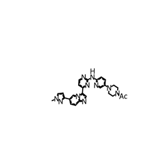 CC(=O)N1CCN(c2ccc(Nc3nccc(-c4cnc5ccc(-c6ccn(C)n6)cn45)n3)nc2)CC1